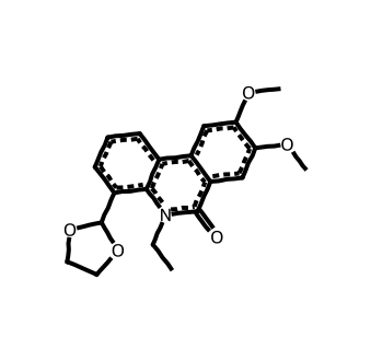 CCn1c(=O)c2cc(OC)c(OC)cc2c2cccc(C3OCCO3)c21